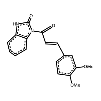 COc1ccc(C=CC(=O)n2c(=O)[nH]c3ccccc32)cc1OC